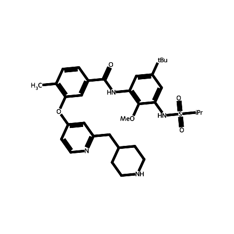 COc1c(NC(=O)c2ccc(C)c(Oc3ccnc(CC4CCNCC4)c3)c2)cc(C(C)(C)C)cc1NS(=O)(=O)C(C)C